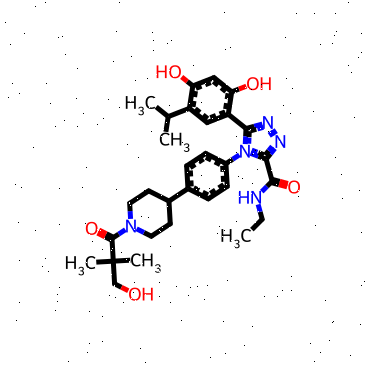 CCNC(=O)c1nnc(-c2cc(C(C)C)c(O)cc2O)n1-c1ccc(C2CCN(C(=O)C(C)(C)CO)CC2)cc1